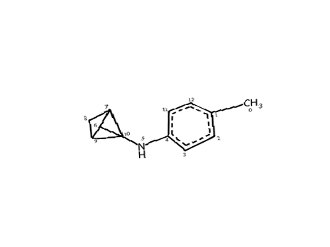 Cc1ccc(NC2C3CC2C3)cc1